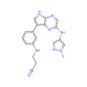 Cn1cc(Nc2cnc3[nH]cc(-c4cccc(NCCC#N)c4)c3n2)cn1